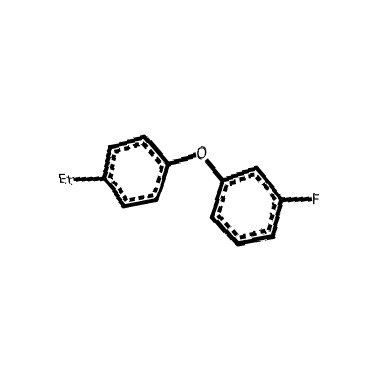 CCc1ccc(Oc2cccc(F)c2)cc1